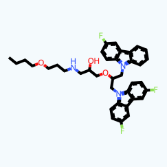 CCCCOCCCNCC(O)COC(Cn1c2ccccc2c2cc(F)ccc21)Cn1c2ccc(F)cc2c2cc(F)ccc21